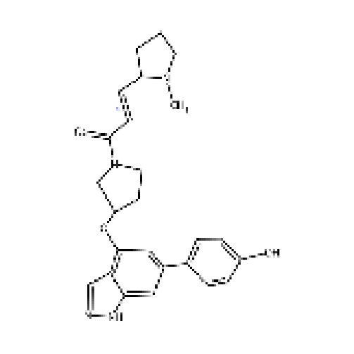 CN1CCCC1/C=C/C(=O)N1CCC(Oc2cc(-c3ccc(O)cc3)cc3[nH]ncc23)C1